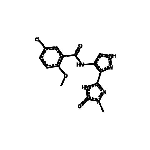 COc1ccc(Cl)cc1C(=O)Nc1c[nH]nc1-c1nn(C)c(=O)[nH]1